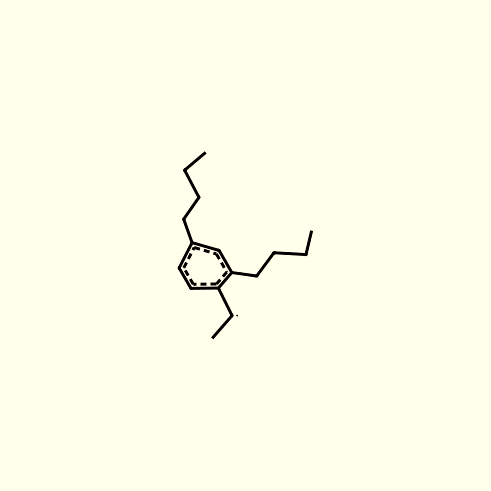 C[CH]c1ccc(CCCC)cc1CCCC